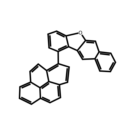 c1ccc2cc3c(cc2c1)oc1cccc(-c2ccc4ccc5cccc6ccc2c4c56)c13